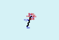 N=CCCCC(N)C=CC(O)(P(=O)(O)O)P(=O)(O)O